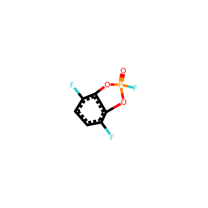 O=P1(F)Oc2c(F)ccc(F)c2O1